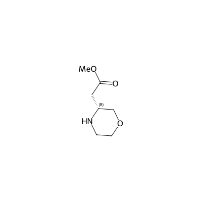 COC(=O)C[C@@H]1COCCN1